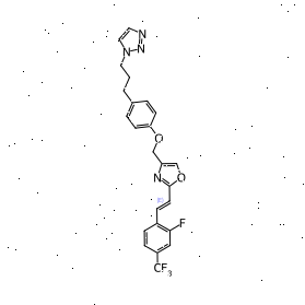 Fc1cc(C(F)(F)F)ccc1/C=C/c1nc(COc2ccc(CCCn3ccnn3)cc2)co1